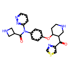 O=C(c1cscn1)C1CNCCC1Oc1ccc(N(C(=O)C2CNC2)c2cccnn2)cc1